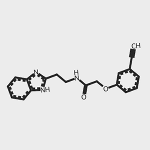 C#Cc1cccc(OCC(=O)NCCc2nc3ccccc3[nH]2)c1